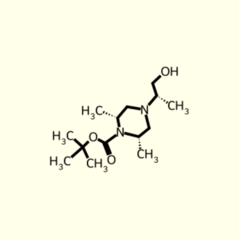 C[C@@H]1CN([C@@H](C)CO)C[C@H](C)N1C(=O)OC(C)(C)C